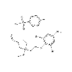 C=CCC[N+](CC)(CC)CCOc1c(Br)cc(N)cc1Br.Cc1ccc(S(=O)(=O)O)cc1